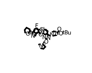 CN1CCC[C@H]1COc1nc(N2CCN(C(=O)OC(C)(C)C)CC2)c2ccnc(Oc3c(Cl)c(F)cc4c3cnn4C3CCCCO3)c2n1